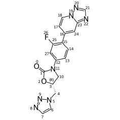 O=C1O[C@@H](Cn2ccnn2)CN1c1ccc(-c2ccn3ncnc3c2)c(F)c1